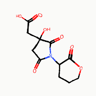 O=C(O)CC1(O)CC(=O)N(C2CCCOC2=O)C1=O